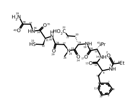 CCC(=O)N[C@@H](Cc1ccccc1)C(=O)N[C@H](C(=O)N[C@@H](CCC(=O)O)C(=O)N(C)CC(=O)N[C@@H](CS)C(=O)NCC(N)=O)C(C)C